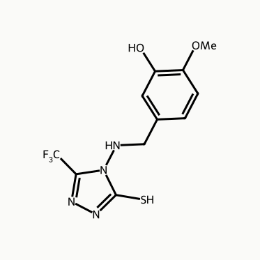 COc1ccc(CNn2c(S)nnc2C(F)(F)F)cc1O